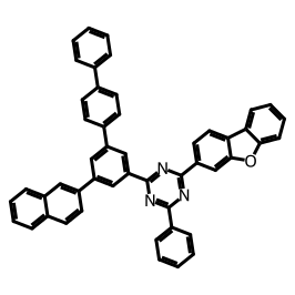 c1ccc(-c2ccc(-c3cc(-c4ccc5ccccc5c4)cc(-c4nc(-c5ccccc5)nc(-c5ccc6c(c5)oc5ccccc56)n4)c3)cc2)cc1